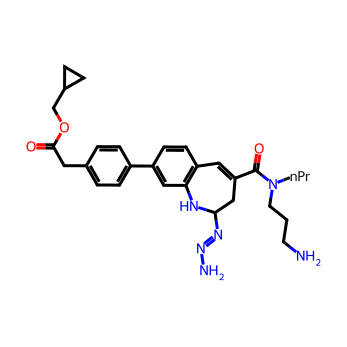 CCCN(CCCN)C(=O)C1=Cc2ccc(-c3ccc(CC(=O)OCC4CC4)cc3)cc2NC(N=NN)C1